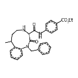 CCOC(=O)c1ccc(NC(=O)C2NCCC(C)c3ccccc3N(Cc3ccccc3)C2=O)cc1